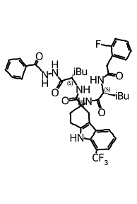 CCC(C)[C@H](NC(=O)Cc1ccccc1F)C(=O)N[C@]1(C(=O)N[C@H](C(=O)NNC(=O)c2ccccc2)C(C)CC)CCc2[nH]c3c(C(F)(F)F)cccc3c2C1